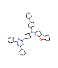 c1ccc(-c2ccc(N(c3ccc(-c4nc(-c5ccccc5)nc(-c5ccccc5)n4)cc3)c3ccc4c(c3)oc3ccccc34)cc2)cc1